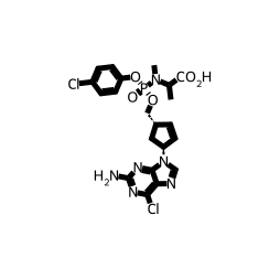 CC(C(=O)O)N(C)P(=O)(OC[C@@H]1C=C[C@H](n2cnc3c(Cl)nc(N)nc32)C1)Oc1ccc(Cl)cc1